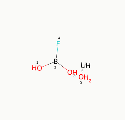 O.OB(O)F.[LiH]